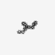 c1ccc(-c2cccc(-c3ccc(N(c4ccc(-c5cccc(-c6cc7ccccc7o6)c5)cc4)c4ccc5ccccc5c4)cc3)c2)cc1